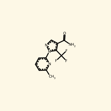 Cc1cccc(-n2ncc(C(N)=O)c2C(F)(F)F)n1